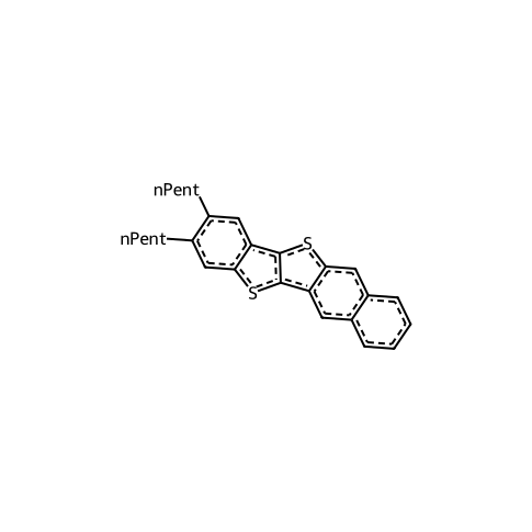 CCCCCc1cc2sc3c4cc5ccccc5cc4sc3c2cc1CCCCC